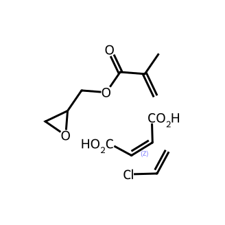 C=C(C)C(=O)OCC1CO1.C=CCl.O=C(O)/C=C\C(=O)O